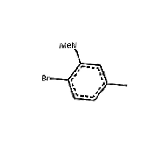 CNc1cc(C)ccc1Br